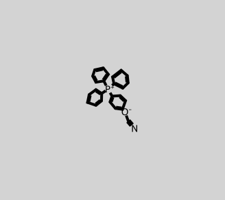 N#C[O-].c1ccc([P+](c2ccccc2)(c2ccccc2)c2ccccc2)cc1